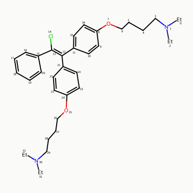 CCN(CC)CCCCOc1ccc(C(=C(Cl)c2ccccc2)c2ccc(OCCCCN(CC)CC)cc2)cc1